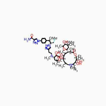 CC[C@H]1OC(=O)[C@H](C)C([C@H]2C[C@@](C)(OC)[C@@H](O)[C@H](C)O2)[C@H](C)[C@@H](O[C@@H]2O[C@H](C)C[C@H](N(C)CCc3cn([C@H](CF)[C@H](OC)c4ccc(-n5cc(C(N)=O)nn5)cc4)nn3)[C@H]2O)[C@](C)(O)C[C@@H](C)CN(C)[C@H](C)[C@@H](O)[C@]1(C)O